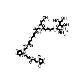 CCCCC[C@H](NC(=O)CCCCOC(OC(CO)C(O)CO)[C@H](C)N)C(=O)NCCCCCC(=O)NCCOC1(OCCNC(=O)CCN2C(=O)C=CC2=O)CCCC1